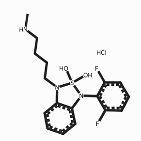 CNCCCCN1c2ccccc2N(c2c(F)cccc2F)S1(O)O.Cl